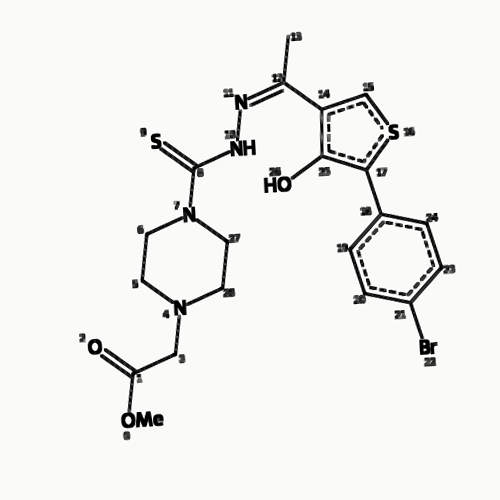 COC(=O)CN1CCN(C(=S)N/N=C(/C)c2csc(-c3ccc(Br)cc3)c2O)CC1